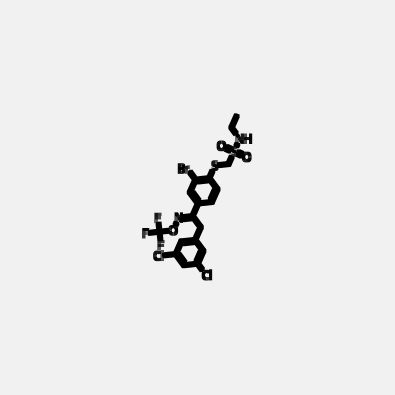 CCNS(=O)(=O)CSc1ccc(/C(Cc2cc(Cl)cc(Cl)c2)=N/OC(F)(F)F)cc1Br